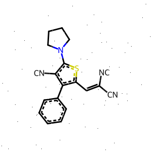 [C-]#[N+]/C(C#N)=C\c1sc(N2CCCC2)c([N+]#[C-])c1-c1ccccc1